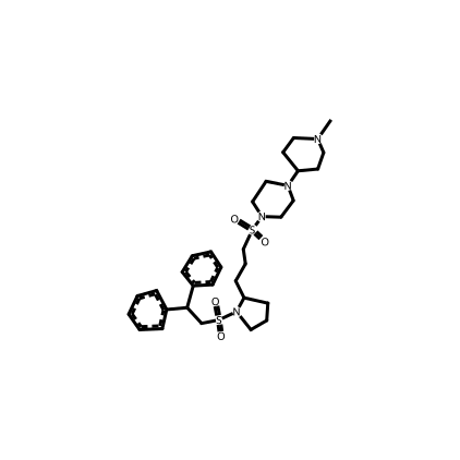 CN1CCC(N2CCN(S(=O)(=O)CCCC3CCCN3S(=O)(=O)CC(c3ccccc3)c3ccccc3)CC2)CC1